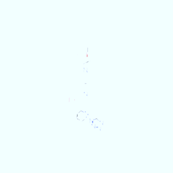 CC(C)=C(CO)N1CCC2(CCN(C[C@H](O)c3cccc(-n4cnnn4)n3)CC2)CC1